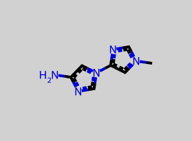 Cn1cnc(-n2cnc(N)c2)c1